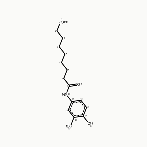 CCCCCCCCCCCCCCCCCC(=O)Nc1ccc(O)c(C(C)(C)C)c1